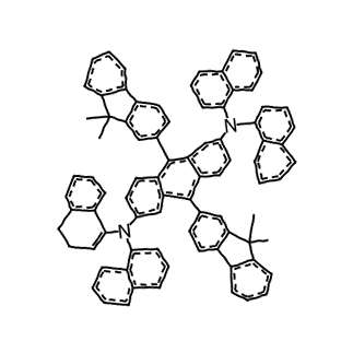 CC1(C)c2ccccc2-c2ccc(-c3c4ccc(N(c5cccc6ccccc56)c5cccc6ccccc56)cc4c(-c4ccc5c(c4)C(C)(C)c4ccccc4-5)c4ccc(N(C5=CCCc6ccccc65)c5cccc6ccccc56)cc34)cc21